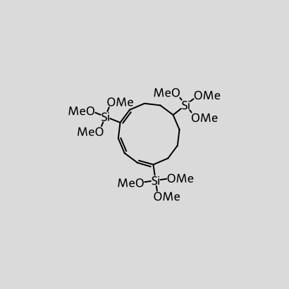 CO[Si](OC)(OC)C1=CCCC([Si](OC)(OC)OC)CCCC([Si](OC)(OC)OC)=CC=C1